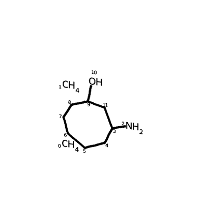 C.C.NC1CCCCC[C](O)C1